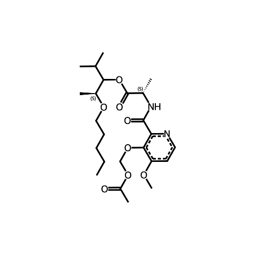 CCCCCO[C@@H](C)C(OC(=O)[C@H](C)NC(=O)c1nccc(OC)c1OCOC(C)=O)C(C)C